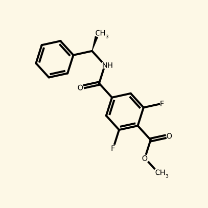 COC(=O)c1c(F)cc(C(=O)N[C@H](C)c2ccccc2)cc1F